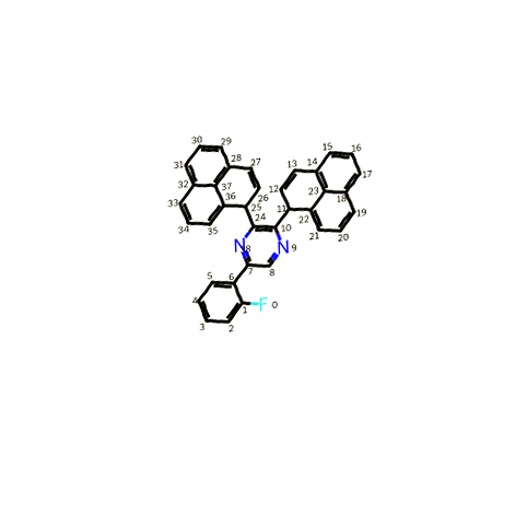 Fc1ccccc1-c1cnc(C2C=Cc3cccc4cccc2c34)c(C2C=Cc3cccc4cccc2c34)n1